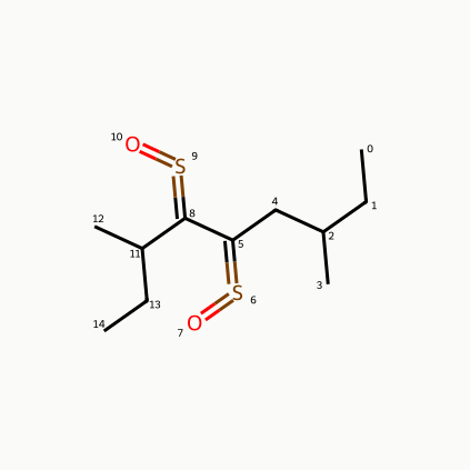 CCC(C)CC(=S=O)C(=S=O)C(C)CC